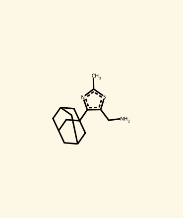 Cc1nc(C23CC4CC(CC(C4)C2)C3)c(CN)s1